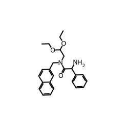 CCOC(CN(Cc1ccc2ccccc2c1)C(=O)C(N)c1ccccc1)OCC